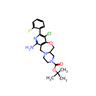 CC(C)(C)OC(=O)N1CCN2Cc3c(N)nc(-c4ccccc4F)c(Cl)c3OCC2C1